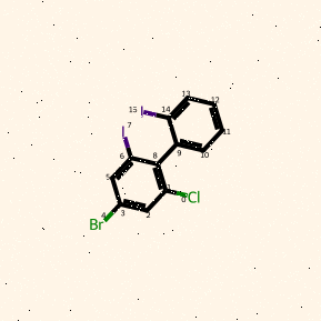 Clc1cc(Br)cc(I)c1-c1ccccc1I